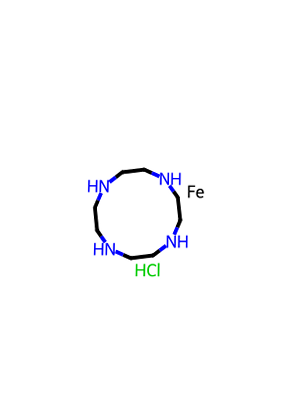 C1CNCCNCCNCCN1.Cl.[Fe]